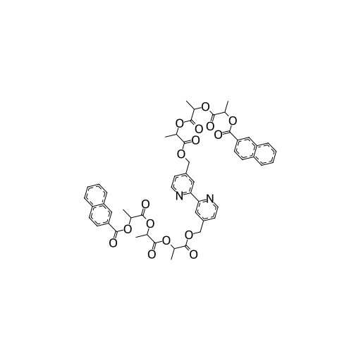 CC(OC(=O)c1ccc2ccccc2c1)C(=O)OC(C)C(=O)OC(C)C(=O)OCc1ccnc(-c2cc(COC(=O)C(C)OC(=O)C(C)OC(=O)C(C)OC(=O)c3ccc4ccccc4c3)ccn2)c1